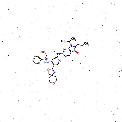 CCCn1c(=O)c2ccc(Nc3cc(N[C@H](CO)c4ccccc4)c(C4=NC5(CCOCC5)CO4)cn3)nc2n1C(C)C